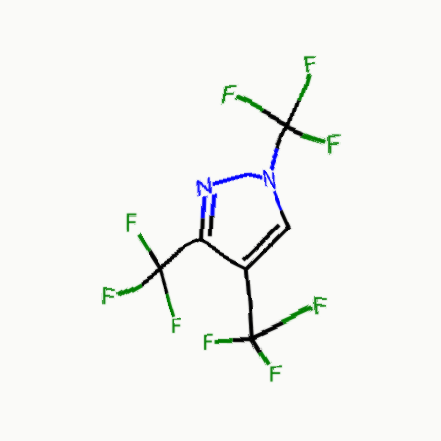 FC(F)(F)c1cn(C(F)(F)F)nc1C(F)(F)F